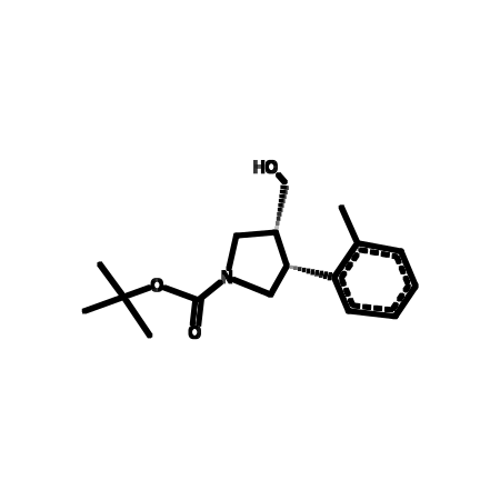 Cc1ccccc1[C@@H]1CN(C(=O)OC(C)(C)C)C[C@@H]1CO